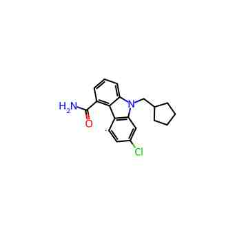 NC(=O)c1cccc2c1c1[c]cc(Cl)cc1n2CC1CCCC1